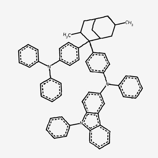 CC1CC2CC(C)C(c3ccc(N(c4ccccc4)c4ccccc4)cc3)(c3ccc(N(c4ccccc4)c4ccc5c(c4)c4ccccc4n5-c4ccccc4)cc3)C(C1)C2